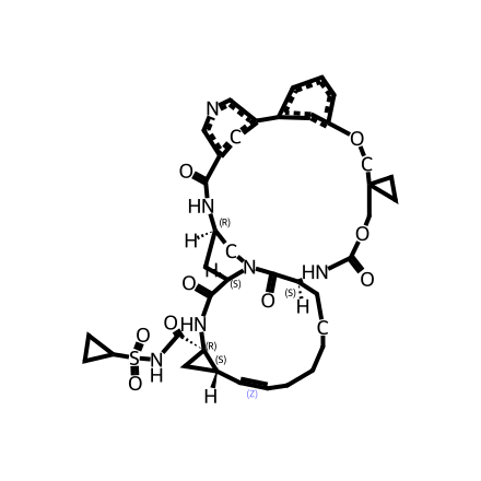 O=C1N[C@H]2CCCCC/C=C\[C@@H]3C[C@@]3(C(=O)NS(=O)(=O)C3CC3)NC(=O)[C@@H]3C[C@H](CN3C2=O)NC(=O)c2cncc(c2)-c2cccc(c2)OCC2(CC2)CO1